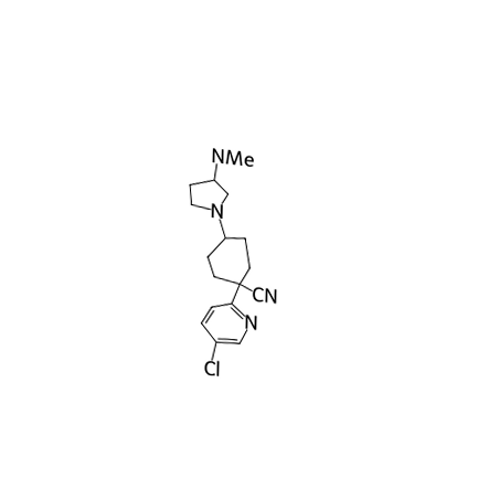 CNC1CCN(C2CCC(C#N)(c3ccc(Cl)cn3)CC2)C1